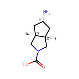 N[C@H]1C[C@@H]2CN(C(=O)O)C[C@@H]2C1